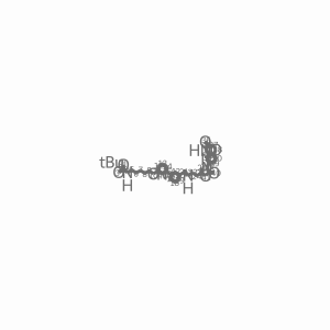 CC(C)(C)OC(=O)NCCCCCOc1cccc(-c2cccc(CNCCC3CN(c4ccc5c(n4)NC(=O)CO5)C(=O)O3)c2)n1